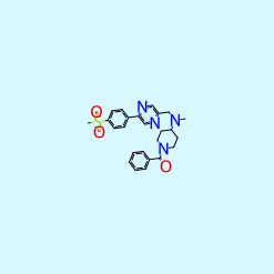 CN(Cc1cnc(-c2ccc(S(C)(=O)=O)cc2)cn1)C1CCN(C(=O)c2ccccc2)CC1